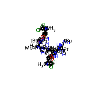 CCNCCN(CCNCCNC(C)(C)C)C(C)(C)CCN(CCNS(=O)(=O)c1cccc(C2CN(C)Cc3c(Cl)cc(Cl)cc32)c1)C(C)(C)CCC(C)(C)C(C)(C)NCCNCCN(CCNC)C(C)(C)CCN(CCNS(=O)(=O)c1ccc(C2CN(C)Cc3c(Cl)cc(Cl)cc32)cc1)P(C)CC(C)(C)C